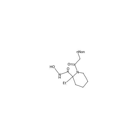 CCCCCCCCCCC(=O)N1CCCCC1(CC)C(=O)NO